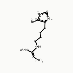 CN/C(=C/[N+](=O)[O-])NCCCCc1nc[nH]c1Br